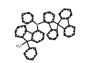 CC1(c2ccccc2)c2ccccc2-c2c(N(c3ccccc3)c3cccc4c3-c3ccccc3C43c4ccccc4-c4ccccc43)cccc21